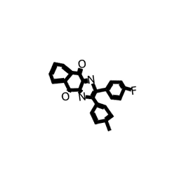 Cc1ccc(-c2nc3c(nc2-c2ccc(F)cc2)C(=O)c2ccccc2C3=O)cc1